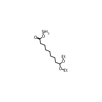 CCOC(CCCCCCCC(=O)O[SiH3])OCC